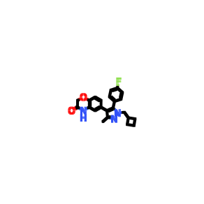 Cc1nn(CC2CCC2)c(-c2ccc(F)cc2)c1-c1ccc2c(c1)NC(=O)CO2